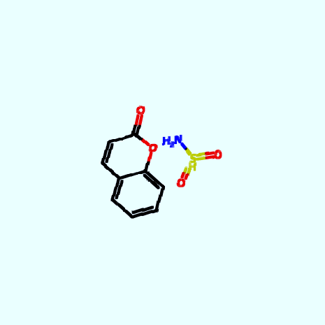 N[SH](=O)=O.O=c1ccc2ccccc2o1